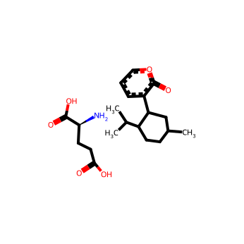 CC1CCC(C(C)C)C(c2cccoc2=O)C1.N[C@@H](CCC(=O)O)C(=O)O